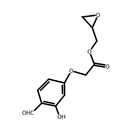 O=Cc1ccc(OCC(=O)OCC2CO2)cc1O